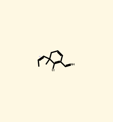 C/C=C\C1(C)CC=CC(C=N)=C1CC